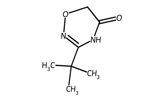 CC(C)(C)C1=NOCC(=O)N1